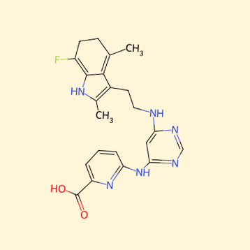 CC1=c2c(CCNc3cc(Nc4cccc(C(=O)O)n4)ncn3)c(C)[nH]c2=C(F)CC1